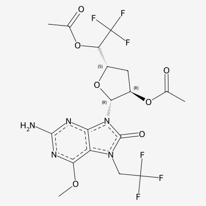 COc1nc(N)nc2c1n(CC(F)(F)F)c(=O)n2[C@@H]1O[C@H](C(OC(C)=O)C(F)(F)F)C[C@H]1OC(C)=O